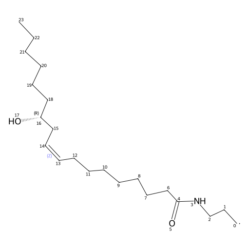 [CH2]CCNC(=O)CCCCCCC/C=C\C[C@H](O)CCCCCC